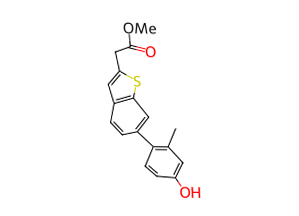 COC(=O)Cc1cc2ccc(-c3ccc(O)cc3C)cc2s1